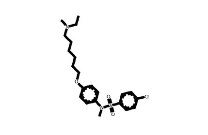 CCN(C)CCCCCCOc1ccc(N(C)S(=O)(=O)c2ccc(Cl)cc2)cc1